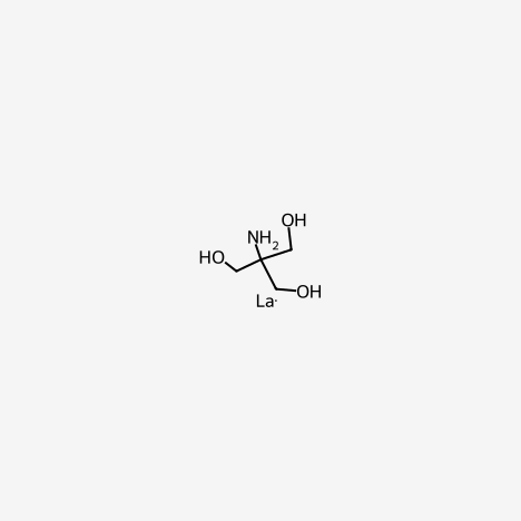 NC(CO)(CO)CO.[La]